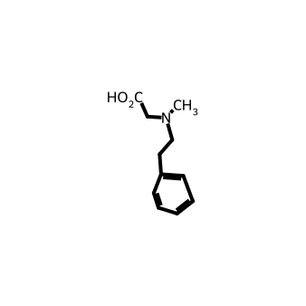 CN(CCc1ccccc1)CC(=O)O